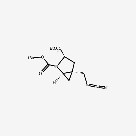 CCOC(=O)[C@@H]1C[C@@]2(CN=[N+]=[N-])C[C@H]2N1C(=O)OC(C)(C)C